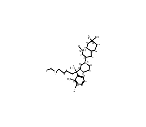 CCOCCCC[C@@](O)(c1cccc(F)c1F)[C@@H]1CCCN(C(CNC)CC2CCC(F)(F)CC2)C1